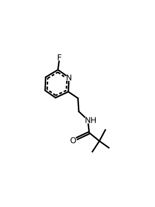 CC(C)(C)C(=O)NCCc1cccc(F)n1